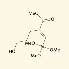 COC(=O)C(=C[Si](OC)(OC)OC)CCCO